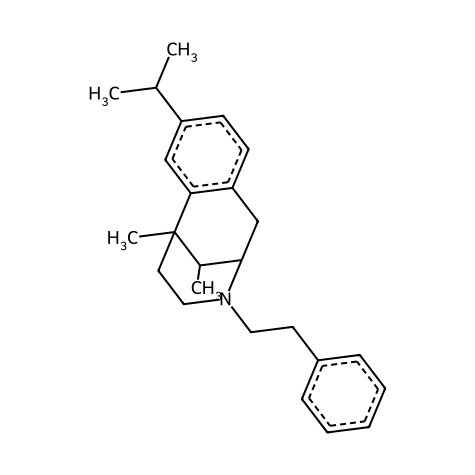 CC(C)c1ccc2c(c1)C1(C)CCN(CCc3ccccc3)C(C2)C1C